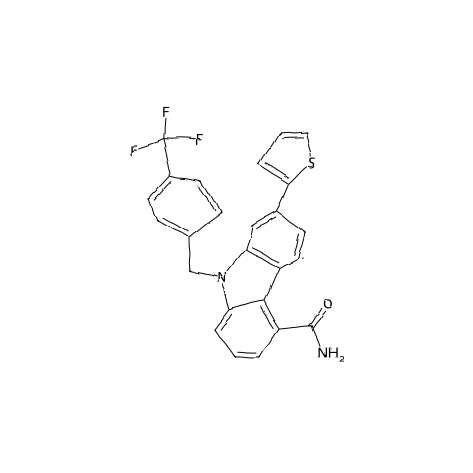 NC(=O)c1cccc2c1c1[c]cc(-c3cccs3)cc1n2Cc1ccc(C(F)(F)F)cc1